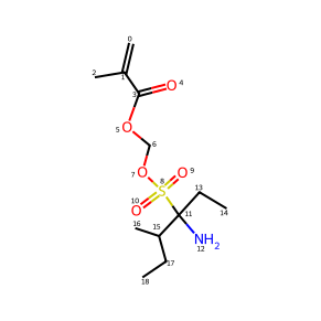 C=C(C)C(=O)OCOS(=O)(=O)C(N)(CC)C(C)CC